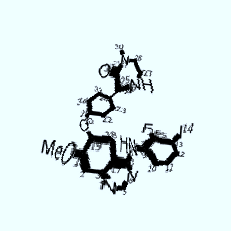 COc1cc2ncnc(Nc3cccc(I)c3F)c2cc1OC1CCC([C@@H]2NCCN(C)C2=O)CC1